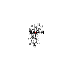 CC(C)(C)OC(=O)N1[C@H]2CC[C@@H]1c1nnc(-c3ccc(F)cc3)n1C2